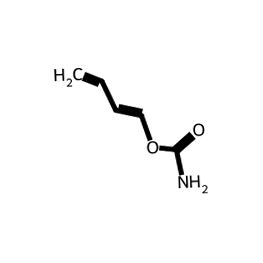 C=CC=COC(N)=O